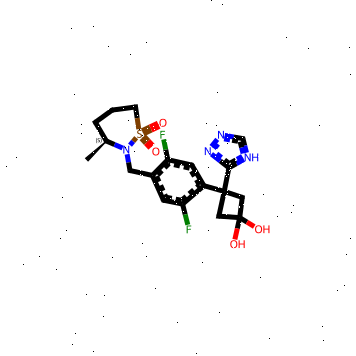 C[C@H]1CCCS(=O)(=O)N1Cc1cc(F)c(C2(c3nnc[nH]3)CC(O)(O)C2)cc1F